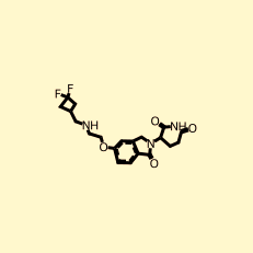 O=C1CCC(N2Cc3cc(OCCNCC4CC(F)(F)C4)ccc3C2=O)C(=O)N1